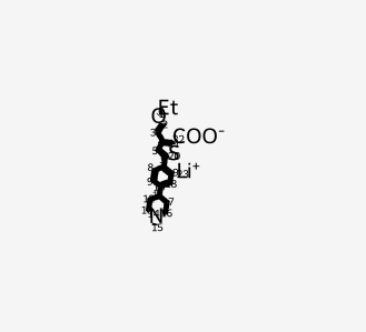 CCO/C=C/c1cc(-c2ccc(C3CCN(C)CC3)cc2)sc1C(=O)[O-].[Li+]